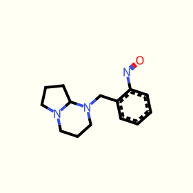 O=Nc1ccccc1CN1CCCN2CCCC21